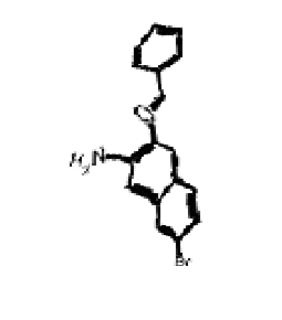 Nc1cc2cc(Br)ccc2cc1OCc1ccccc1